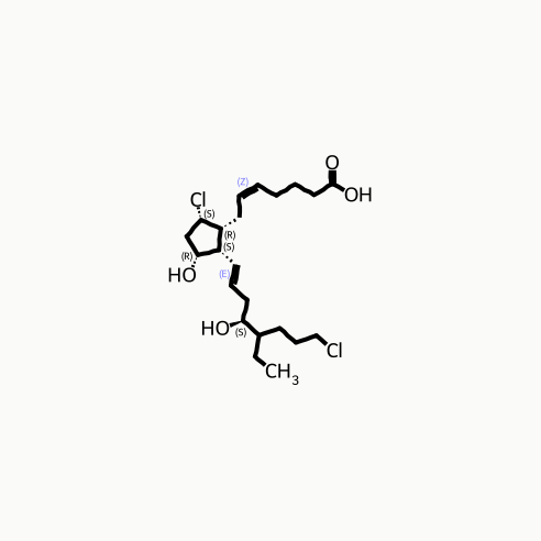 CCC(CCCCl)[C@@H](O)C/C=C/[C@H]1[C@@H](C/C=C\CCCC(=O)O)[C@@H](Cl)C[C@H]1O